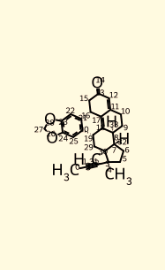 CC#C[C@]1(C)CC[C@H]2[C@@H]3CCC4=CC(=O)CCC4=C3[C@@H](c3ccc4c(c3)OCO4)C[C@@]21C